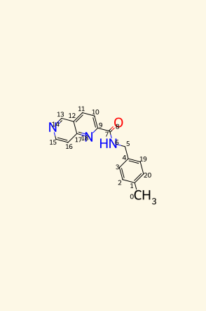 Cc1ccc(CNC(=O)c2ccc3cnccc3n2)cc1